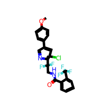 COc1ccc(-c2cnc(C(F)(F)CNC(=O)c3ccccc3C(F)(F)F)c(Cl)c2)cc1